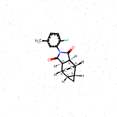 Cc1ccc(F)c(N2C(=O)[C@@H]3[C@@H]4CC[C@@H]([C@@H]5C[C@@H]54)[C@@H]3C2=O)c1